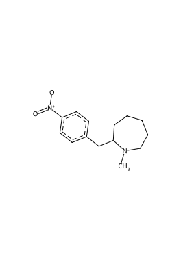 CN1CCCCCC1Cc1ccc([N+](=O)[O-])cc1